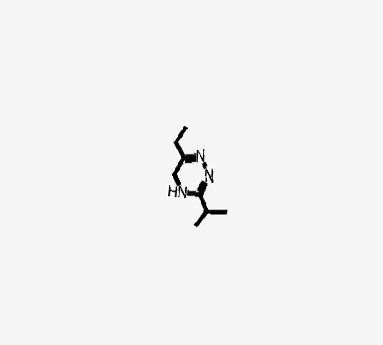 CCC1=NN=C(C(C)C)NC1